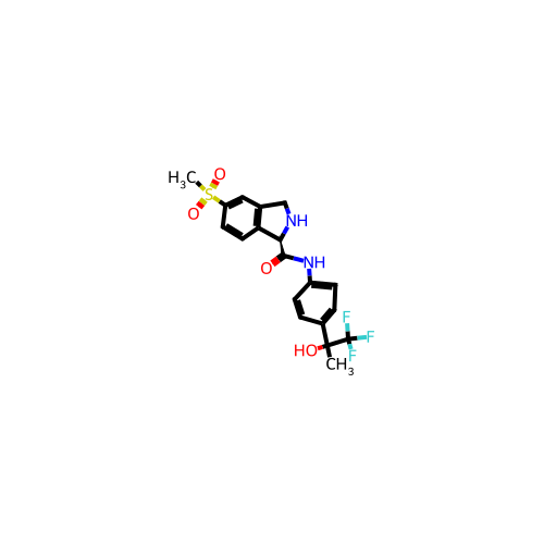 CC(O)(c1ccc(NC(=O)[C@@H]2NCc3cc(S(C)(=O)=O)ccc32)cc1)C(F)(F)F